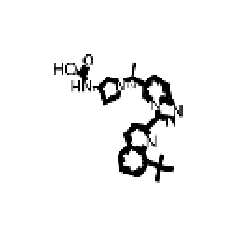 C[C@@H](c1ccc2nnc(-c3ccc4cccc(C(C)(C)C)c4n3)n2c1)N1CC[C@H](NC(=O)O)C1